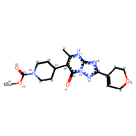 Cc1[nH]c2nc(C3=CCOCC3)nn2c(=O)c1C1CCN(C(=O)OC(C)(C)C)CC1